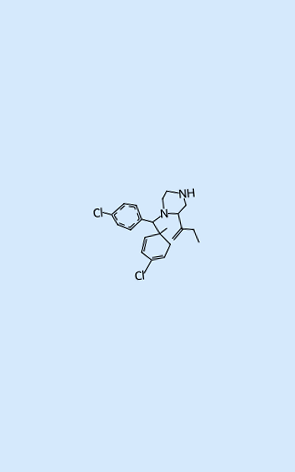 C=C(CC)C1CNCCN1C(c1ccc(Cl)cc1)C1(C)C=CC(Cl)=CC1